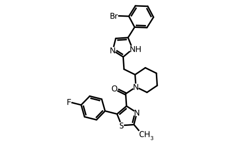 Cc1nc(C(=O)N2CCCCC2Cc2ncc(-c3ccccc3Br)[nH]2)c(-c2ccc(F)cc2)s1